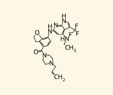 C=CCN1CCN(C(=O)c2ccc(Nc3cc(NCC)c4c(C(F)(F)F)c[nH]c4n3)c3c2CCO3)CC1